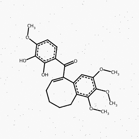 COc1ccc(C(=O)C2=CCCCCc3c2cc(OC)c(OC)c3OC)c(O)c1O